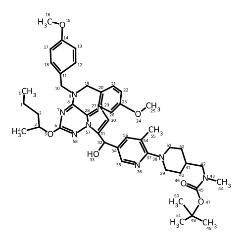 CCCC(C)Oc1nc(N(Cc2ccc(OC)cc2)Cc2ccc(OC)cc2)c2ncc(C(O)c3cnc(N4CCC(CN(C)C(=O)OC(C)(C)C)CC4)c(C)c3)n2n1